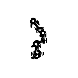 Cc1cccnc1-c1nc2cc(Nc3ccc(C)c(N4C[C@@H]5CCN(C)[C@@H]5C4)n3)ncc2s1